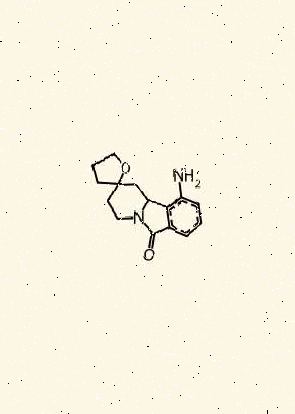 Nc1cccc2c1C1CC3(CCCO3)CCN1C2=O